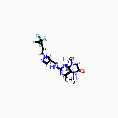 Cc1nc(NCc2cnn(CCC3CC3(F)F)c2)nc2c1NC(=O)CN2C